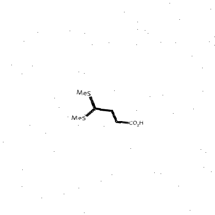 CSC(CCC(=O)O)SC